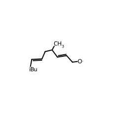 CCC(C)C=CCC(C)C=CC[O]